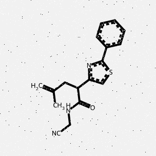 C=C(C)CC(C(=O)NCC#N)c1csc(-c2ccccc2)n1